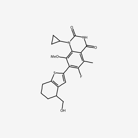 COc1c(-c2cc3c(s2)CCCC3CO)c(F)c(C)c2c(=O)[nH]c(=O)n(C3CC3)c12